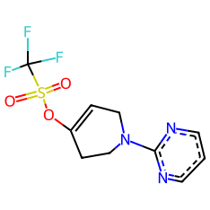 O=S(=O)(OC1=CCN(c2ncccn2)CC1)C(F)(F)F